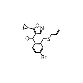 C=CCSCc1cc(Br)ccc1C(=O)c1cnoc1C1CC1